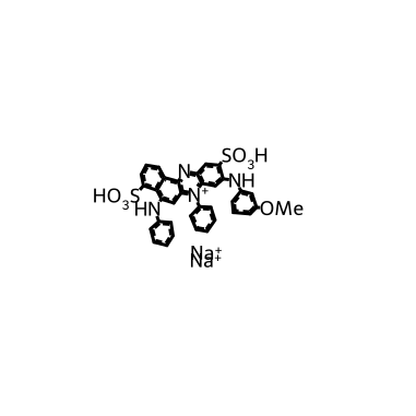 COc1cccc(Nc2cc3c(cc2S(=O)(=O)O)nc2c4cccc(S(=O)(=O)O)c4c(Nc4ccccc4)cc2[n+]3-c2ccccc2)c1.[Na+].[Na+]